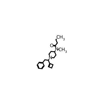 CCCC(=O)N(C)C1CCN(C(Cc2ccccc2)C2=CCC2)CC1